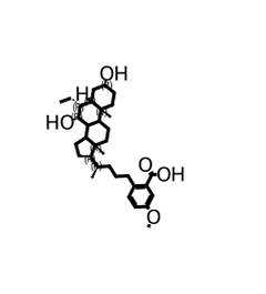 CC[C@H]1[C@@H](O)C2C3CC[C@H]([C@H](C)CCCc4ccc(OC)cc4C(=O)O)[C@@]3(C)CCC2[C@@]2(C)CC[C@@H](O)C[C@@H]12